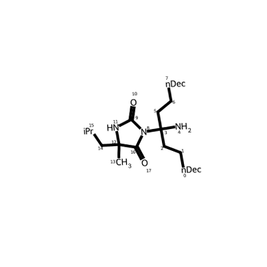 CCCCCCCCCCCCC(N)(CCCCCCCCCCCC)N1C(=O)NC(C)(CC(C)C)C1=O